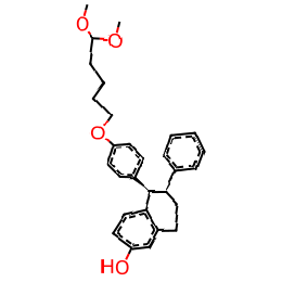 COC(CCCCOc1ccc([C@@H]2c3ccc(O)cc3CC[C@@H]2c2ccccc2)cc1)OC